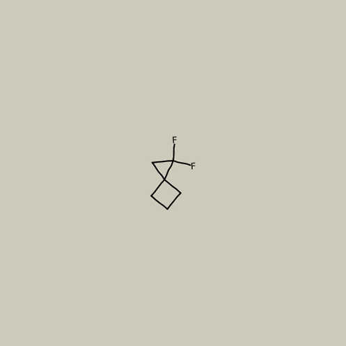 FC1(F)CC12CCC2